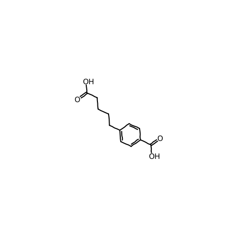 O=C(O)CCCCc1ccc(C(=O)O)cc1